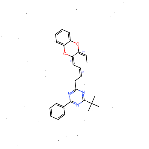 C/C=C1/Oc2ccccc2O/C1=C/C=C\Cc1nc(-c2ccccc2)nc(C(C)(C)C)n1